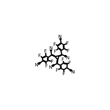 N#CC(C1=C(F)C(F)C(C#N)C(F)=C1F)=C1C(=C(\C#N)c2c(F)c(F)c(C#N)c(F)c2F)/C1=C(\C#N)c1c(F)c(F)c(C#N)c(F)c1F